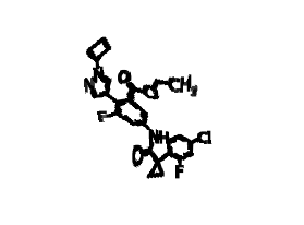 CCOC(=O)c1cc(NC(=O)C2(c3ccc(Cl)cc3F)CC2)cc(F)c1-c1cnn(C2CCC2)c1